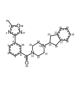 Cc1nc(-c2cccc(C(=O)N3CCN(C4Cc5ccccc5C4)CC3)c2)no1